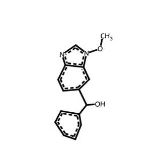 COn1cnc2ccc(C(O)c3ccccc3)cc21